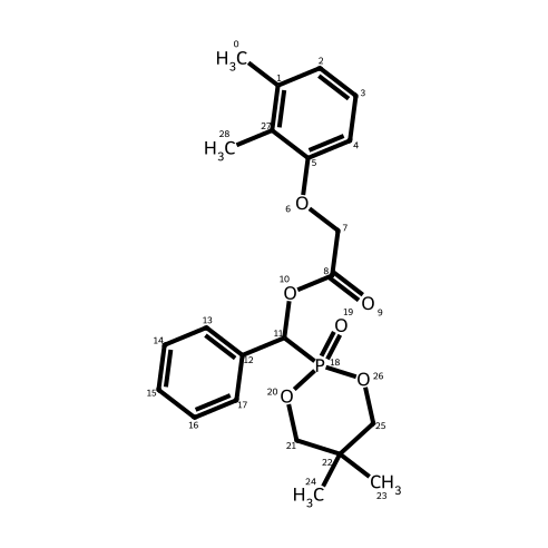 Cc1cccc(OCC(=O)OC(c2ccccc2)P2(=O)OCC(C)(C)CO2)c1C